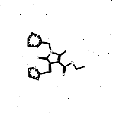 CCOC(=O)C1=C(C)N(Cc2ccccc2)C(=O)/C1=C\c1ccco1